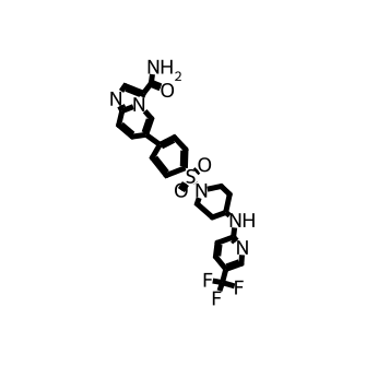 NC(=O)c1cnc2ccc(-c3ccc(S(=O)(=O)N4CCC(Nc5ccc(C(F)(F)F)cn5)CC4)cc3)cn12